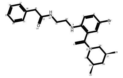 C=C(c1cc(Br)ccc1NCCNC(=O)Cc1ccccc1)N1C[C@H](C)C[C@H](C)C1